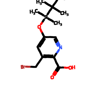 CC(C)(C)[Si](C)(C)Oc1cnc(C(=O)O)c(CBr)c1